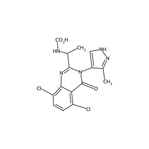 Cc1n[nH]cc1-n1c(C(C)NC(=O)O)nc2c(Cl)ccc(Cl)c2c1=O